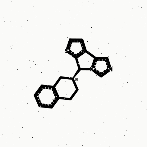 c1ccc2c(c1)CC[C@H](C1c3sccc3-c3cncn31)C2